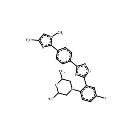 CC1CN(c2ccc(Br)cc2-c2nc(-c3ccc(-c4nc(C(F)(F)F)cn4C)cc3)no2)CC(C)O1